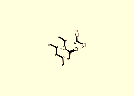 CCCCC.CCOC(C)=O.ClCCl